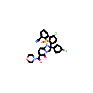 N#Cc1ccccc1S(=O)(=O)N1c2ccc(C(=O)N3CCOCC3)c(=O)n2CC1(c1ccc(Cl)cc1)c1ccc(Cl)cc1